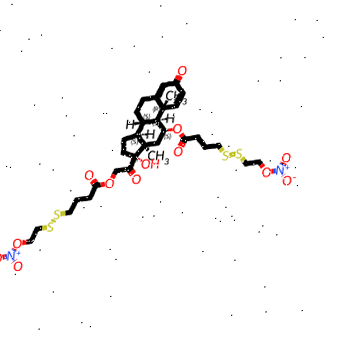 C[C@]12C=CC(=O)C=C1CC[C@@H]1[C@@H]2[C@@H](OC(=O)CCCSSCCO[N+](=O)[O-])C[C@@]2(C)[C@H]1CC[C@]2(O)C(=O)COC(=O)CCCSSCCO[N+](=O)[O-]